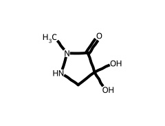 CN1NCC(O)(O)C1=O